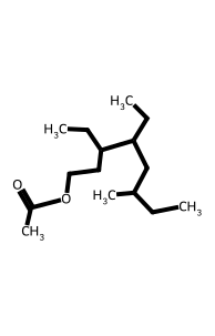 CCC(C)CC(CC)C(CC)CCOC(C)=O